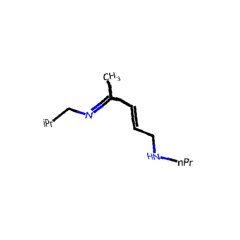 CCCNCC=CC(C)=NCC(C)C